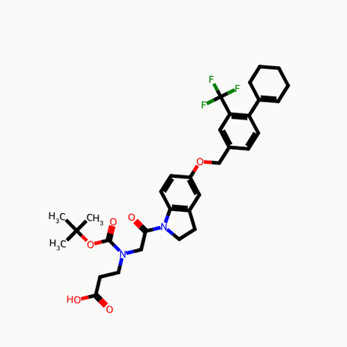 CC(C)(C)OC(=O)N(CCC(=O)O)CC(=O)N1CCc2cc(OCc3ccc(C4=CCCCC4)c(C(F)(F)F)c3)ccc21